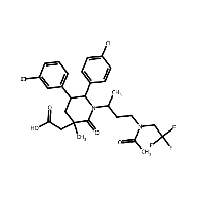 CC(=O)N(CCC(C)N1C(=O)C(C)(CC(=O)O)CC(c2cccc(Cl)c2)C1c1ccc(Cl)cc1)CC(F)(F)F